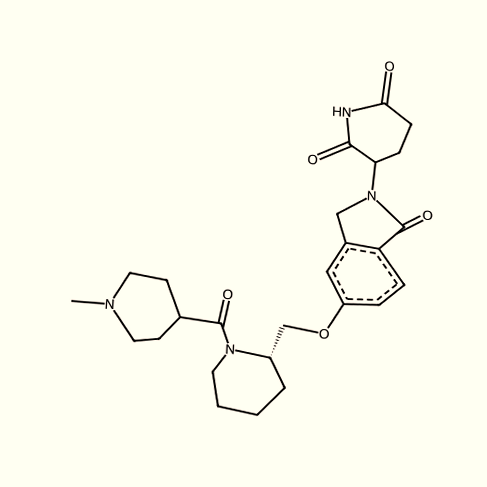 CN1CCC(C(=O)N2CCCC[C@H]2COc2ccc3c(c2)CN(C2CCC(=O)NC2=O)C3=O)CC1